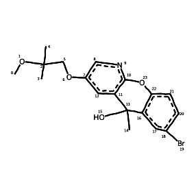 COC(C)(C)COc1cnc2c(c1)C(C)(O)c1cc(Br)ccc1O2